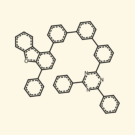 c1ccc(-c2nc(-c3ccccc3)nc(-c3cccc(-c4cccc(-c5cccc(-c6ccc(-c7ccccc7)c7oc8ccccc8c67)c5)c4)c3)n2)cc1